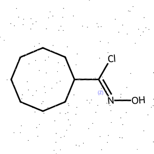 O/N=C(\Cl)C1CCCCCCC1